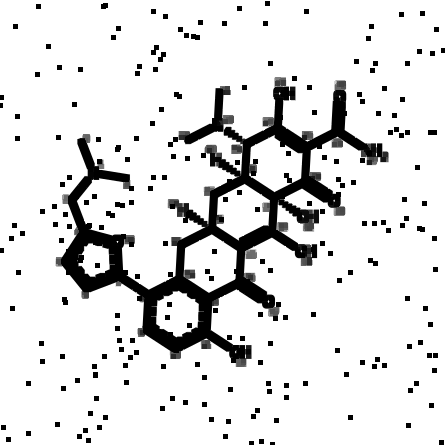 CN(C)Cc1ccc(-c2ccc(O)c3c2C[C@H]2C[C@H]4[C@H](N(C)C)C(O)=C(C(N)=O)C(=O)[C@@]4(O)C(O)=C2C3=O)o1